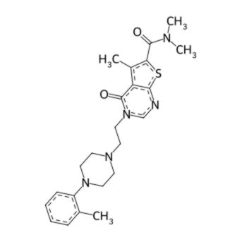 Cc1ccccc1N1CCN(CCn2cnc3sc(C(=O)N(C)C)c(C)c3c2=O)CC1